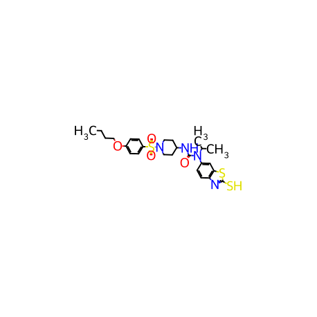 CCCCOc1ccc(S(=O)(=O)N2CCC(NC(=O)N(c3ccc4nc(S)sc4c3)C(C)C)CC2)cc1